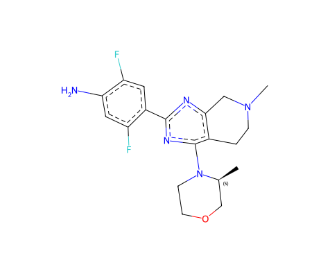 C[C@H]1COCCN1c1nc(-c2cc(F)c(N)cc2F)nc2c1CCN(C)C2